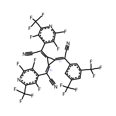 N#CC(=C1C(=C(\C#N)c2cc(C(F)(F)F)cc(C(F)(F)F)c2)/C1=C(\C#N)c1c(F)c(F)nc(C(F)(F)F)c1F)c1c(F)c(F)nc(C(F)(F)F)c1F